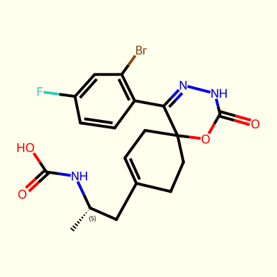 C[C@@H](CC1=CCC2(CC1)OC(=O)NN=C2c1ccc(F)cc1Br)NC(=O)O